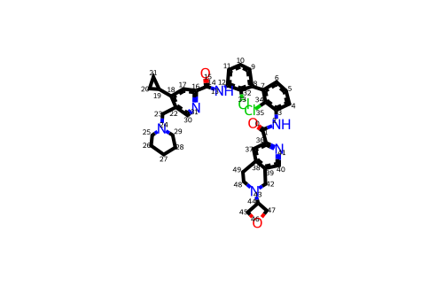 O=C(Nc1cccc(-c2cccc(NC(=O)c3cc(C4CC4)c(CN4CCCCC4)cn3)c2Cl)c1Cl)c1cc2c(cn1)CN(C1COC1)CC2